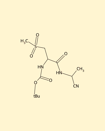 CC(C#N)NC(=O)C(CS(C)(=O)=O)NC(=O)OC(C)(C)C